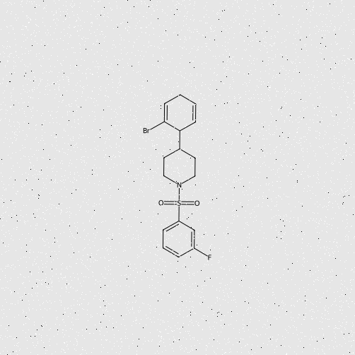 O=S(=O)(c1cccc(F)c1)N1CCC(C2C=CCC=C2Br)CC1